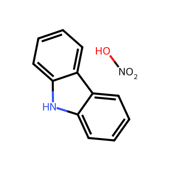 O=[N+]([O-])O.c1ccc2c(c1)[nH]c1ccccc12